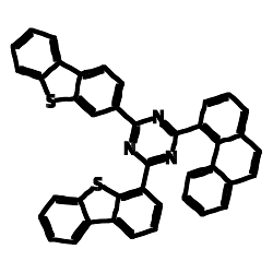 c1ccc2c(c1)ccc1cccc(-c3nc(-c4ccc5c(c4)sc4ccccc45)nc(-c4cccc5c4sc4ccccc45)n3)c12